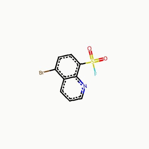 O=S(=O)(F)c1ccc(Br)c2cccnc12